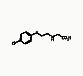 O=C(O)CNCCSc1ccc(Cl)cc1